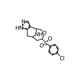 O=S(=O)(c1ccc(Cl)cc1)C1CC2Cc3[nH]ncc3C(CO1)N2